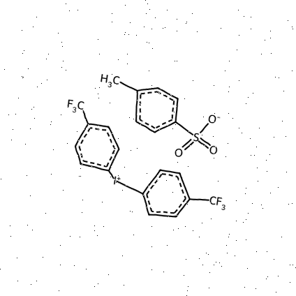 Cc1ccc(S(=O)(=O)[O-])cc1.FC(F)(F)c1ccc([I+]c2ccc(C(F)(F)F)cc2)cc1